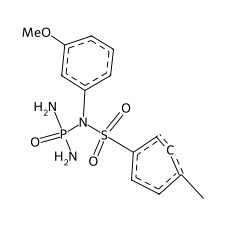 COc1cccc(N(P(N)(N)=O)S(=O)(=O)c2ccc(C)cc2)c1